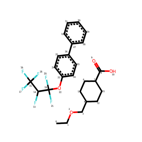 CCOCC1CCC(C(=O)O)CC1.FC(C(F)(F)F)C(F)(F)Oc1ccc(-c2ccccc2)cc1